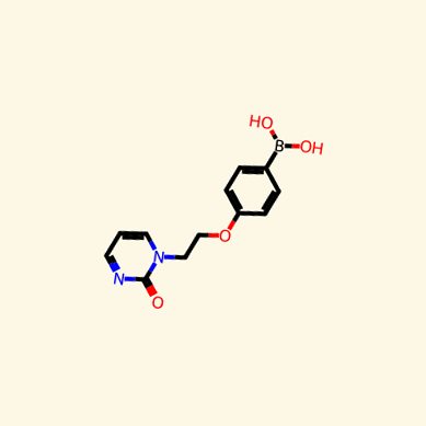 O=c1ncccn1CCOc1ccc(B(O)O)cc1